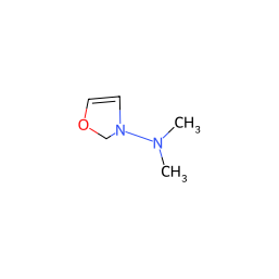 CN(C)N1C=COC1